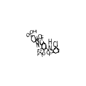 C[C@H](Oc1cc(-n2nc3n(c2=O)C[C@H](C(=O)O)CC3)c(F)cc1C(=O)Nc1c(F)cccc1Cl)C(F)(F)F